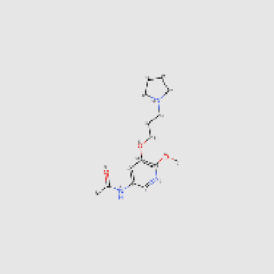 COc1ncc(NC(C)=O)cc1OCCCN1CCCC1